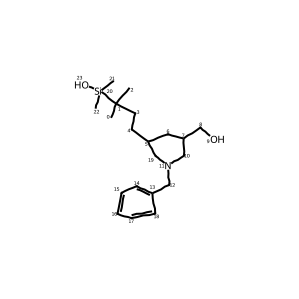 CC(C)(CCC1CC(CO)CN(Cc2ccccc2)C1)[Si](C)(C)O